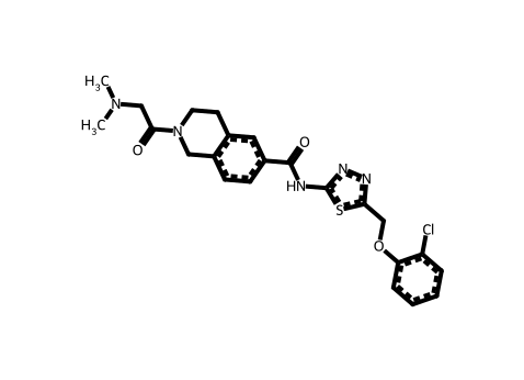 CN(C)CC(=O)N1CCc2cc(C(=O)Nc3nnc(COc4ccccc4Cl)s3)ccc2C1